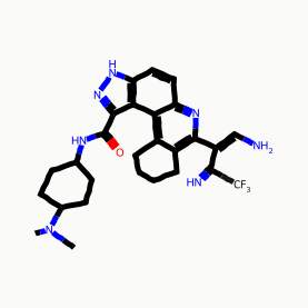 CN(C)C1CCC(NC(=O)c2n[nH]c3ccc4nc(/C(=C/N)C(=N)C(F)(F)F)c5c(c4c23)CCCC5)CC1